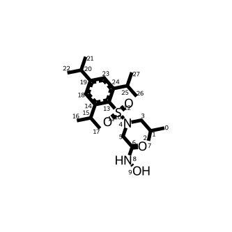 CC(C)CN(CC(=O)NO)S(=O)(=O)c1c(C(C)C)cc(C(C)C)cc1C(C)C